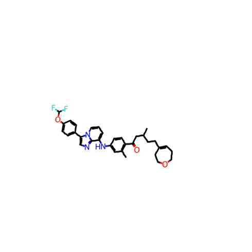 Cc1cc(Nc2cccn3c(-c4ccc(OC(F)F)cc4)cnc23)ccc1C(=O)CC(C)CCC1=CCCOCC1